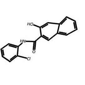 O=C(Nc1ccccc1Cl)c1cc2ccccc2[c]c1O